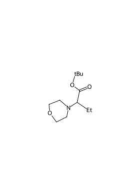 CCC(C(=O)OC(C)(C)C)N1CCOCC1